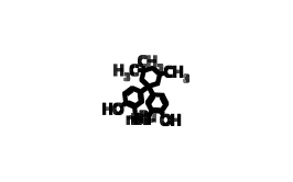 CCCCc1cc(C2(c3ccc(O)c(CCCC)c3)CC(C)CC(C)(C)C2)ccc1O